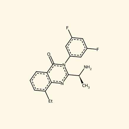 CCc1cccc2c(=O)n(-c3cc(F)cc(F)c3)c([C@H](C)N)nc12